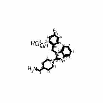 Cl.Cl.NCC1CCN(c2nc3ccccc3n2Cc2ccc(F)cc2)CC1